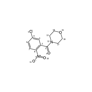 O=C(c1cc(Cl)ccc1[N+](=O)[O-])N1CCOCC1